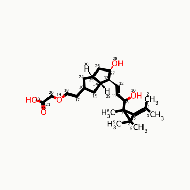 CC(C)=C1C(C)(C)C1(C)C(O)C=C[C@H]1[C@@H]2CC(CCOCC(=O)O)C[C@H]2C[C@@H]1O